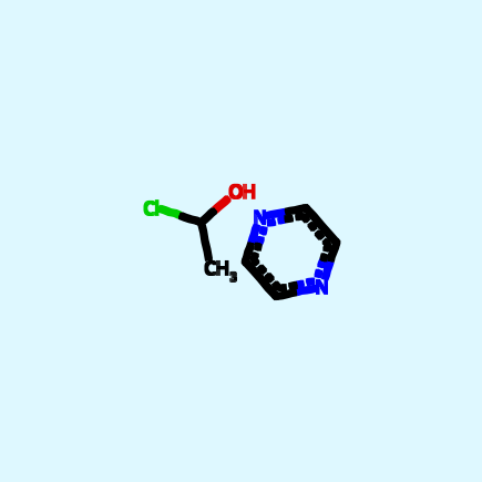 CC(O)Cl.c1cnccn1